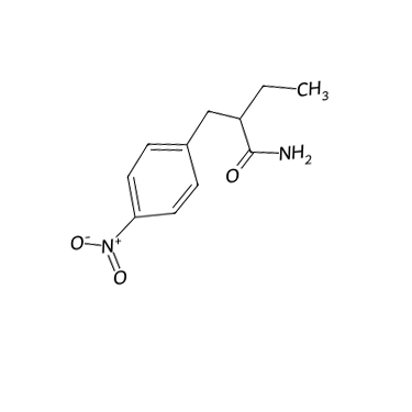 CCC(Cc1ccc([N+](=O)[O-])cc1)C(N)=O